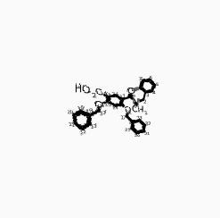 CN(Cc1ccccc1)C(=O)c1cc(C(=O)O)c(OCc2ccccc2)cc1OCc1ccccc1